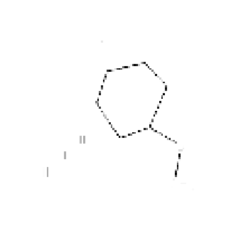 C[B]C1CCCCC1.F.F.F.[KH]